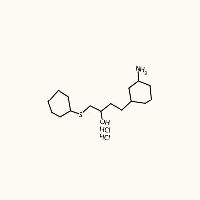 Cl.Cl.NC1CCCC(CCC(O)CSC2CCCCC2)C1